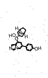 O=C(O)N1[C@@H]2CC[C@H]1C[C@H](Oc1cc(-c3ccc(O)cc3)cn3cncc13)C2